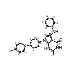 Cc1ccc(-c2ccc(-n3nc(Nc4ccccc4)c4c3NC(C)NC4=O)nn2)cc1